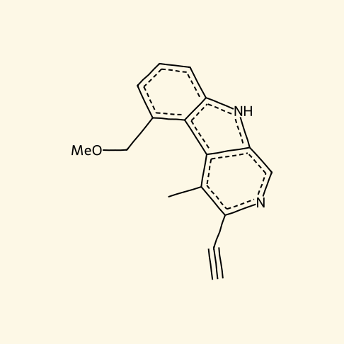 C#Cc1ncc2[nH]c3cccc(COC)c3c2c1C